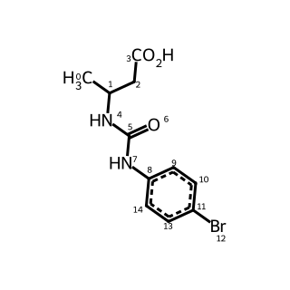 CC(CC(=O)O)NC(=O)Nc1ccc(Br)cc1